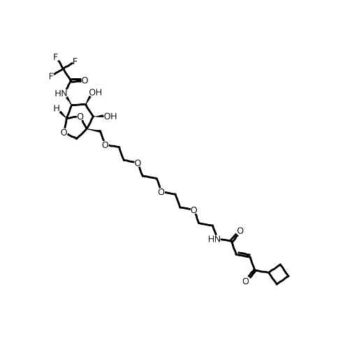 O=C(/C=C/C(=O)C1CCC1)NCCOCCOCCOCCOC[C@@]12CO[C@@H](O1)[C@@H](NC(=O)C(F)(F)F)[C@@H](O)[C@H]2O